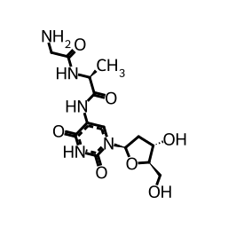 C[C@H](NC(=O)CN)C(=O)Nc1cn([C@H]2C[C@H](O)[C@@H](CO)O2)c(=O)[nH]c1=O